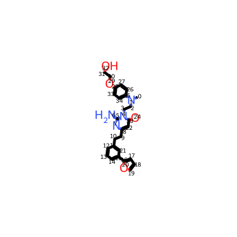 CN(CCn1c(N)nc(CCc2cccc(-c3ccco3)c2)cc1=O)c1ccc(OCCO)cc1